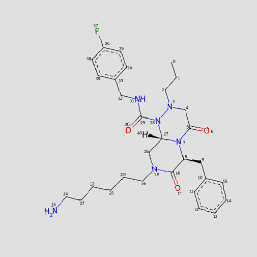 CCCN1CC(=O)N2[C@@H](Cc3ccccc3)C(=O)N(CCCCCCN)C[C@@H]2N1C(=O)NCc1ccc(F)cc1